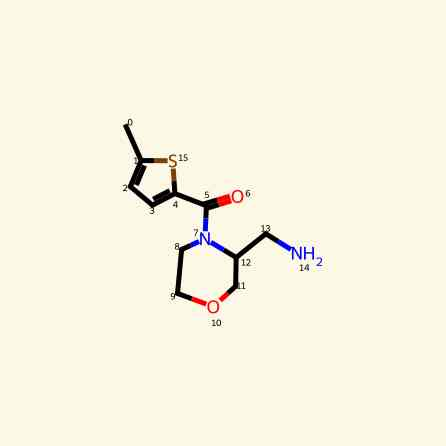 Cc1ccc(C(=O)N2CCOCC2CN)s1